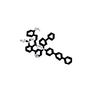 CC/C=C(\C=C(/C)c1cccc(N(C)C)c1/C(C)=C/C=C\C1C=CC=CC1C)N(c1ccc(-c2ccc(-c3ccccc3)cc2)cc1)c1cccc(-c2ccccc2)c1